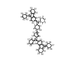 C1=CCCC(N(c2ccc(-c3ccc(N(c4ccccc4)c4ccc5c(c4)c4ccccc4n5-c4ccccc4)cc3)cc2)c2ccc3c(c2)c2ccccc2n3-c2ccccc2)=C1